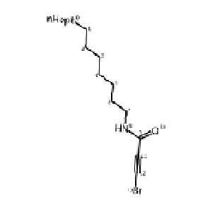 CCCCCCCCCCCCCCNC(=O)C#CBr